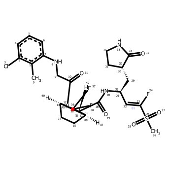 Cc1c(Cl)cccc1NCC(=O)N1[C@@H]2CC[C@H]([C@H]1C(=O)N[C@H](/C=C(\F)S(C)(=O)=O)C[C@@H]1CCNC1=O)C(F)(F)C2